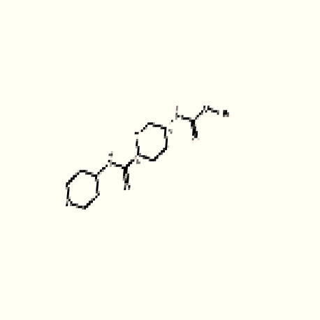 CC(C)(C)OC(=O)N[C@@H]1CC[C@@H](C(=O)NC2CCOCC2)OC1